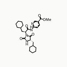 COC(=O)c1ccc(NC(=O)[C@H](CC2CCCCC2)N2C(=O)N[C@@H](CC3CCCCC3)C2=O)nc1